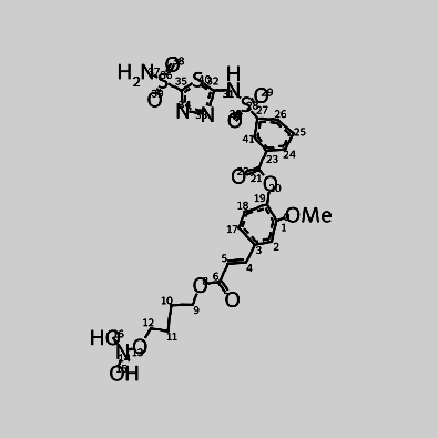 COc1cc(/C=C/C(=O)OCCCCON(O)O)ccc1OC(=O)c1cccc(S(=O)(=O)Nc2nnc(S(N)(=O)=O)s2)c1